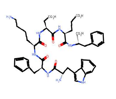 NCCCC[C@H](NC(=O)[C@H](Cc1ccccc1)NC(=O)[C@@H](N)Cc1c[nH]c2ccccc12)C(=O)N[C@@H](CC(=O)O)C(=O)N[C@@H](CCC(=O)O)C(=O)N[C@@H](Cc1ccccc1)C(=O)O